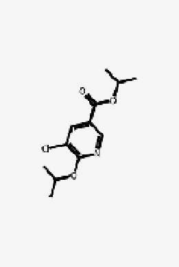 CC(C)OC(=O)c1cnc(OC(C)C)c(Cl)c1